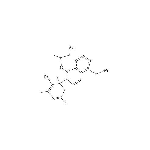 CCC1=C(C)C=C(C)CC1(C)C1C=Cc2c(CC(C)C)cccc2N1OC(C)CC(C)=O